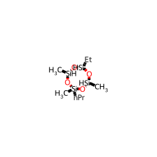 CCC[Si]1(C)O[SiH](C)O[SiH](CC)O[SiH](C)O1